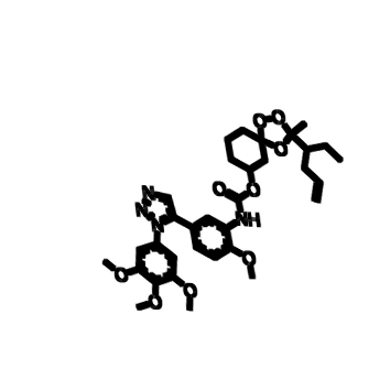 C=CCC(CC)C1(C)OOC2(CCCC(OC(=O)Nc3cc(-c4cnnn4-c4cc(OC)c(OC)c(OC)c4)ccc3OC)C2)O1